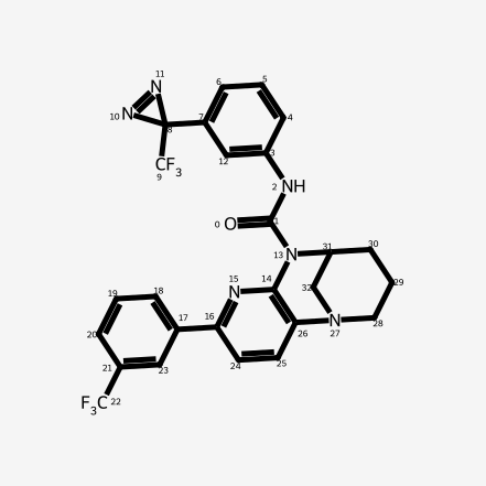 O=C(Nc1cccc(C2(C(F)(F)F)N=N2)c1)N1c2nc(-c3cccc(C(F)(F)F)c3)ccc2N2CCCC1C2